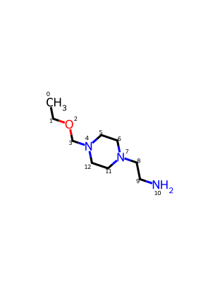 CCOCN1CCN(CCN)CC1